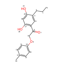 CCCc1cc(C(=O)COc2ccc(C)cc2)c(O)cc1O